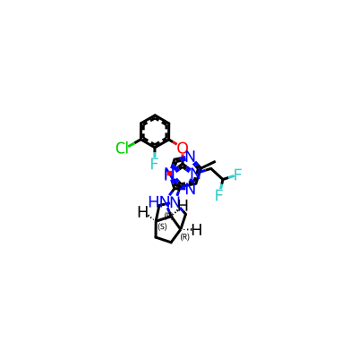 Cc1cc(N2C[C@H]3CC[C@@H](C2)[C@H]3Nc2nc(Oc3cccc(Cl)c3F)n(CC(F)F)n2)ncn1